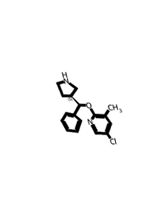 Cc1cc(Cl)cnc1OC(c1ccccc1)[C@H]1CCNC1